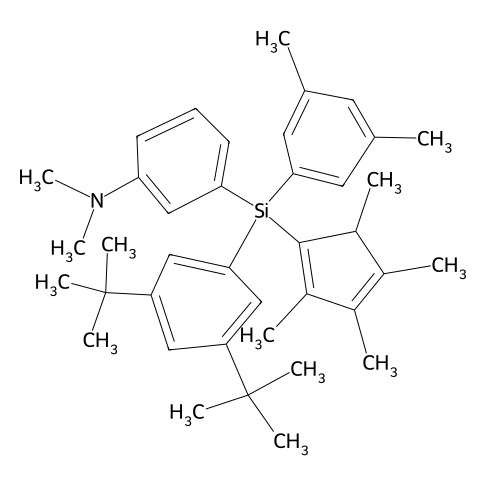 CC1=C(C)C(C)C([Si](c2cc(C)cc(C)c2)(c2cccc(N(C)C)c2)c2cc(C(C)(C)C)cc(C(C)(C)C)c2)=C1C